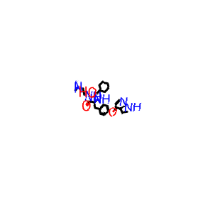 CN(C)CCNC(=O)C(Cc1ccc(Oc2ccnc3[nH]ccc23)cc1)NC(O)C1CCCCC1